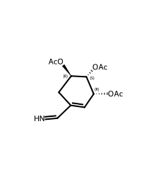 CC(=O)O[C@@H]1[C@H](OC(C)=O)C=C(C=N)C[C@H]1OC(C)=O